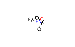 CC(CCc1ccccc1)NC(=O)c1cccc(C(F)(F)F)c1